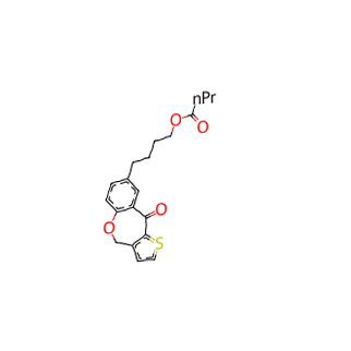 CCCC(=O)OCCCCc1ccc2c(c1)C(=O)c1sccc1CO2